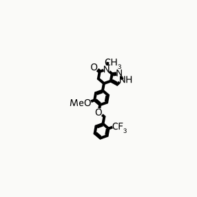 COc1cc(C2CC(=O)N(C)c3n[nH]cc32)ccc1OCc1ccccc1C(F)(F)F